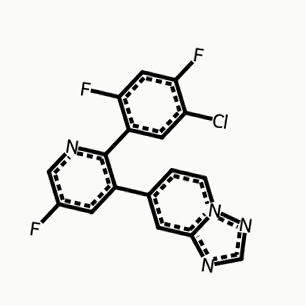 Fc1cnc(-c2cc(Cl)c(F)cc2F)c(-c2ccn3ncnc3c2)c1